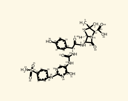 CC1(C)S[C@@H]2[C@H](NC(=O)[C@H](NC(=O)Nc3cnc(Nc4ccc(S(N)(=O)=O)cc4)nc3O)c3ccc(O)cc3)C(=O)N2[C@H]1C(=O)O